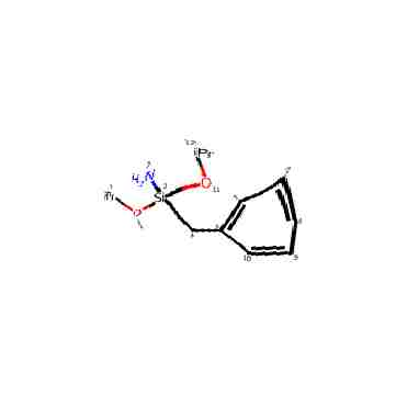 CC(C)O[Si](N)(Cc1ccccc1)OC(C)C